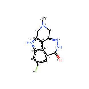 CC(C)N1CC2=NNC(=O)c3cc(F)cc4[nH]c(c2c34)C1